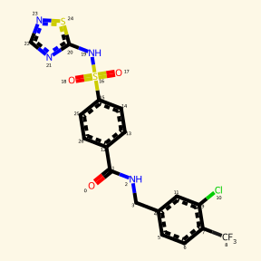 O=C(NCc1ccc(C(F)(F)F)c(Cl)c1)c1ccc(S(=O)(=O)Nc2ncns2)cc1